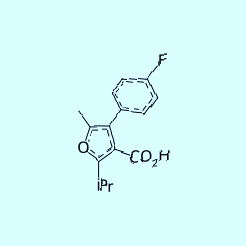 Cc1oc(C(C)C)c(C(=O)O)c1-c1ccc(F)cc1